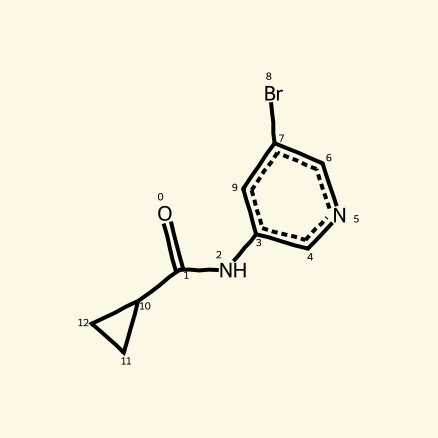 O=C(Nc1cncc(Br)c1)C1CC1